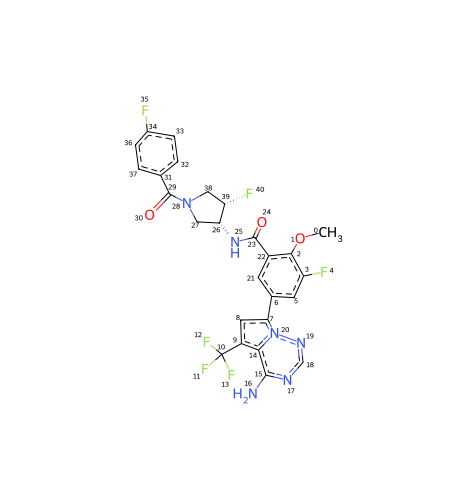 COc1c(F)cc(-c2cc(C(F)(F)F)c3c(N)ncnn23)cc1C(=O)N[C@@H]1CN(C(=O)c2ccc(F)cc2)C[C@@H]1F